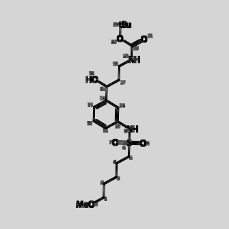 COCCCCCS(=O)(=O)Nc1cccc(C(O)CCNC(=O)OC(C)(C)C)c1